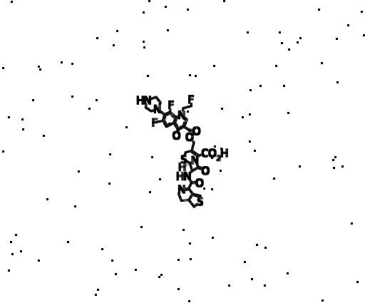 O=C(O)C1=C(COC(=O)c2cn(CCF)c3c(F)c(N4CCNCC4)c(F)cc3c2=O)CS[C@@H]2C(NC(=O)C3=NCCC4CSC=C34)C(=O)N12